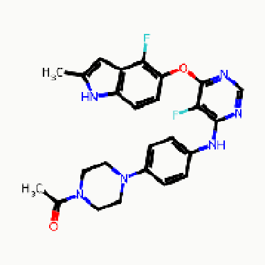 CC(=O)N1CCN(c2ccc(Nc3ncnc(Oc4ccc5[nH]c(C)cc5c4F)c3F)cc2)CC1